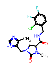 Cc1nc[nH]c1CN1CC(C(=O)NCc2ccc(F)c(F)c2Cl)N(C)C1=O